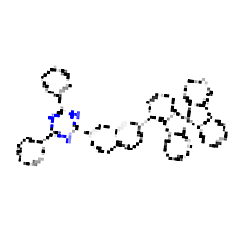 c1ccc(-c2nc(-c3ccccc3)nc(-c3ccc4ccc(-c5cccc6c5-c5ccccc5C65c6ccccc6-c6ccccc65)cc4c3)n2)cc1